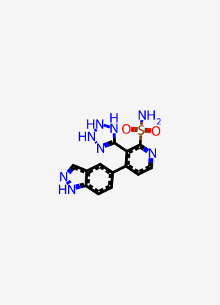 NS(=O)(=O)c1nccc(-c2ccc3[nH]ncc3c2)c1C1=NNNN1